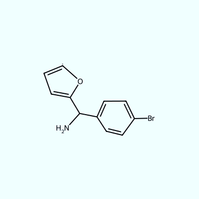 NC(c1ccc(Br)cc1)c1cc[c]o1